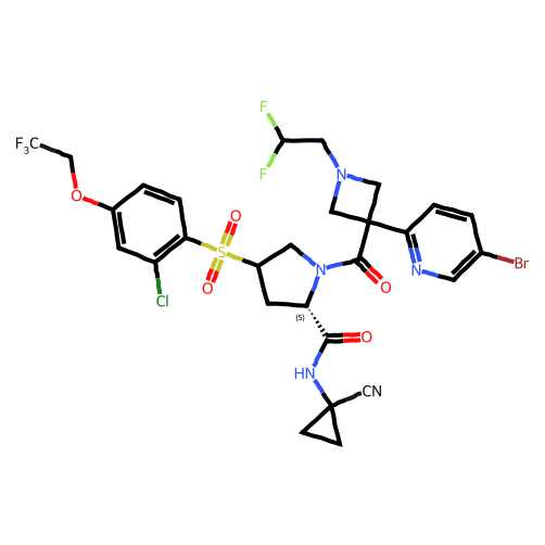 N#CC1(NC(=O)[C@@H]2CC(S(=O)(=O)c3ccc(OCC(F)(F)F)cc3Cl)CN2C(=O)C2(c3ccc(Br)cn3)CN(CC(F)F)C2)CC1